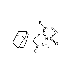 NC(=O)C(Oc1nc(=O)[nH]cc1F)C12CC3CC(CC(C3)C1)C2